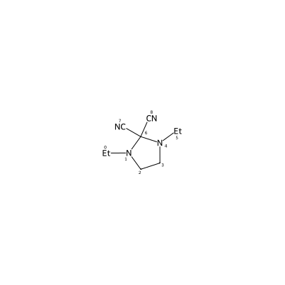 CCN1CCN(CC)C1(C#N)C#N